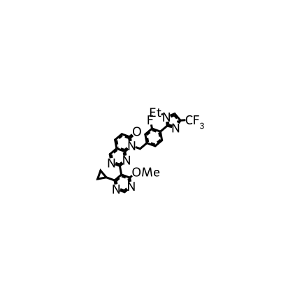 CCn1cc(C(F)(F)F)nc1-c1ccc(Cn2c(=O)ccc3cnc(-c4c(OC)ncnc4C4CC4)nc32)cc1F